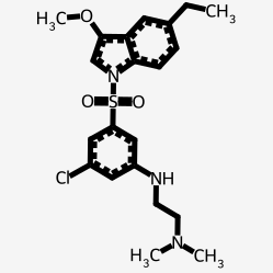 CCc1ccc2c(c1)c(OC)cn2S(=O)(=O)c1cc(Cl)cc(NCCN(C)C)c1